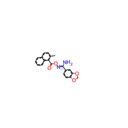 Cc1ccc2ccccc2c1C(=O)O/N=C(\N)c1ccc2c(c1)OCO2